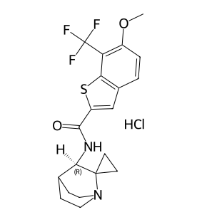 COc1ccc2cc(C(=O)N[C@@H]3C4CCN(CC4)C34CC4)sc2c1C(F)(F)F.Cl